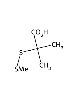 CSSC(C)(C)C(=O)O